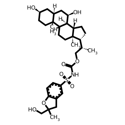 C[C@H](COC(=O)NS(=O)(=O)c1ccc2c(c1)CC(C)(CO)O2)[C@H]1CC[C@H]2[C@@H]3[C@H](O)C[C@@H]4C[C@H](O)CC[C@]4(C)[C@H]3CC[C@]12C